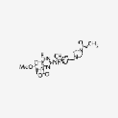 C=CC(=O)N1CCN(Cc2ccc(C(C)Nc3nc(F)cc(N4C(=O)OC[C@@H]4C(C)OC)n3)cc2)CC1